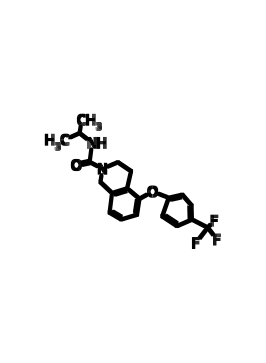 CC(C)NC(=O)N1CCc2c(cccc2Oc2ccc(C(F)(F)F)cc2)C1